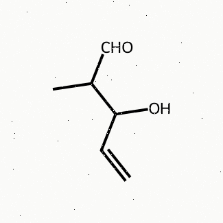 C=CC(O)C(C)C=O